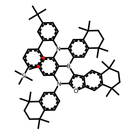 Cc1cc2c3c(c1)N(c1ccc4c(c1)C(C)(C)CCC4(C)C)c1oc4cc5c(cc4c1B3c1cc3c(cc1N2c1ccc(C(C)(C)C)cc1-c1ccc([Si](C)(C)C)cc1)C(C)(C)CCC3(C)C)C(C)(C)CCC5(C)C